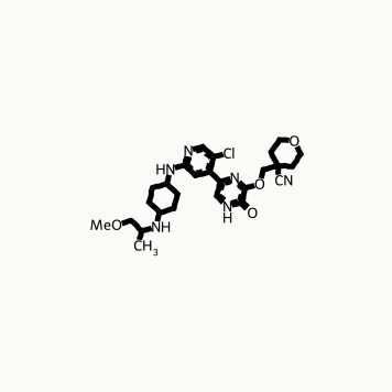 COCC(C)NC1CCC(Nc2cc(-c3c[nH]c(=O)c(OCC4(C#N)CCOCC4)n3)c(Cl)cn2)CC1